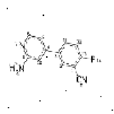 N#Cc1cc(-c2ccnc(N)c2)ccc1F